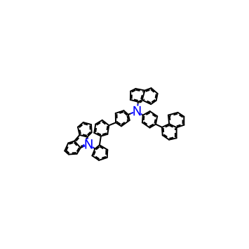 c1cc(-c2ccc(N(c3ccc(-c4cccc5ccccc45)cc3)c3cccc4ccccc34)cc2)cc(-c2ccccc2-n2c3ccccc3c3ccccc32)c1